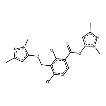 Cc1cc(OCc2c(Cl)ccc(C(=O)Oc3cc(C)nn3C)c2Cl)n(C)n1